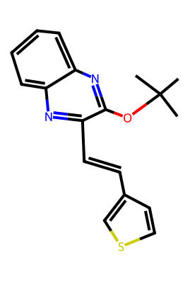 CC(C)(C)Oc1nc2ccccc2nc1/C=C/c1ccsc1